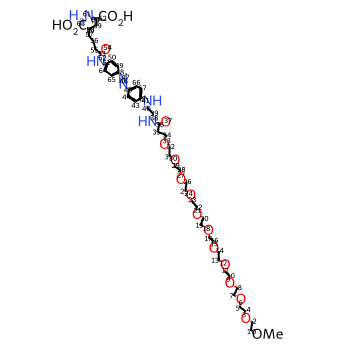 COCCOCCOCCOCCOCCOCCOCCOCCOCCOCCOCCOCCC(=O)NCCNc1ccc(N=Nc2ccc(NC(=O)CCC[C@@H](C[C@H](N)C(=O)O)C(=O)O)cc2)cc1